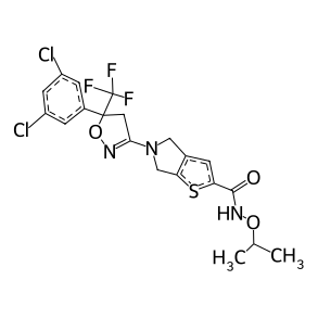 CC(C)ONC(=O)c1cc2c(s1)CN(C1=NOC(c3cc(Cl)cc(Cl)c3)(C(F)(F)F)C1)C2